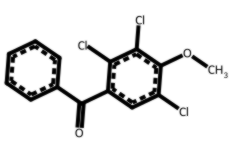 COc1c(Cl)cc(C(=O)c2ccccc2)c(Cl)c1Cl